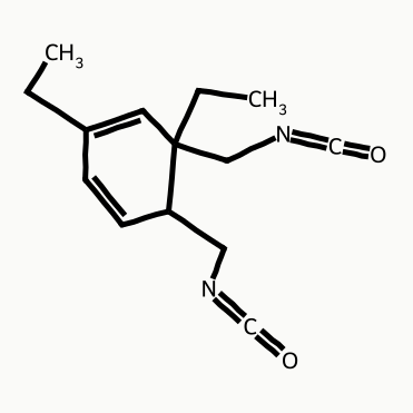 CCC1=CC(CC)(CN=C=O)C(CN=C=O)C=C1